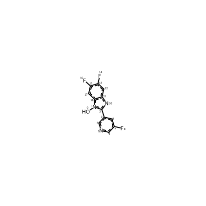 On1c(-c2cncc(F)c2)nc2cc(F)c(F)cc21